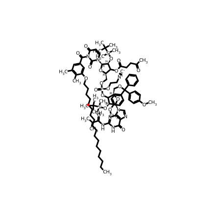 [C-]#[N+]CCOP(=O)(OC[C@H]1O[C@@H](n2ccc(=O)n(C(=O)c3cc(C)c(C)c(OCCCCCCCCCCCCCCCCCC)c3)c2=O)[C@@H](O[Si](C)(C)C(C)(C)C)C1OC(=O)CCC(C)=O)OC1[C@@H](COC(c2ccccc2)(c2ccc(OC)cc2)c2ccc(OC)cc2)O[C@@H](n2cnc3c(=O)[nH]c(NC(=O)C(C)C)nc32)[C@H]1O[Si](C)(C)C(C)(C)C